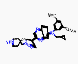 COc1cc(OC)cc(N(CC2CC2)c2ccc3ncc(-c4cnn(CC5(OC)CCNCC5)c4)nc3c2)c1